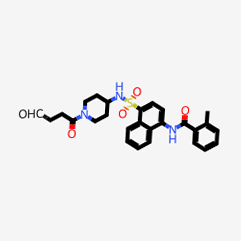 Cc1ccccc1C(=O)Nc1ccc(S(=O)(=O)NC2CCN(C(=O)CCC=O)CC2)c2ccccc12